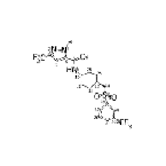 Cn1nc(C(F)(F)F)cc1C(=O)N[C@H]1CC[C@H](CS(=O)(=O)c2cccc(C(F)(F)F)c2)CC1